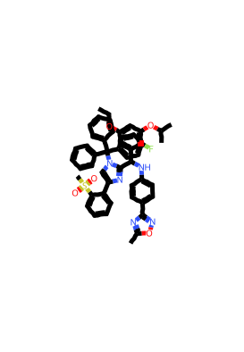 CCOc1cc(OC(C)C)c(F)c(C(Nc2ccc(-c3noc(C)n3)cc2)c2nc(-c3ccccc3S(C)(=O)=O)cn2C(c2ccccc2)(c2ccccc2)c2ccccc2)c1